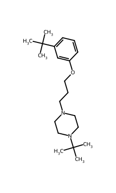 CC(C)(C)c1cccc(OCCCN2CCN(C(C)(C)C)CC2)c1